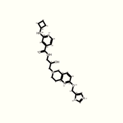 O=C(NCC(O)CN1CCc2nc(OCc3cnco3)ccc2C1)c1ccnc(NC2CCC2)c1